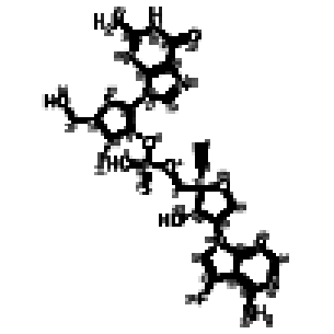 C#C[C@]1(COP(O)(=S)O[C@@H]2[C@H](F)[C@@H](CO)S[C@H]2n2cnc3c(=O)[nH]c(N)nc32)OCC(n2cc(F)c3c(N)ncnc32)[C@@H]1O